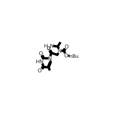 CCCCOC(=O)N(CC(=O)n1cc(C)c(=O)[nH]c1=O)C(C)N